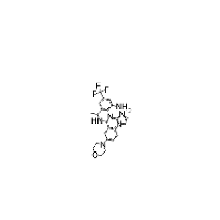 CC(Nc1nc2nccn2c2ccc(N3CCOCC3)cc12)c1cc(N)cc(C(F)(F)F)c1